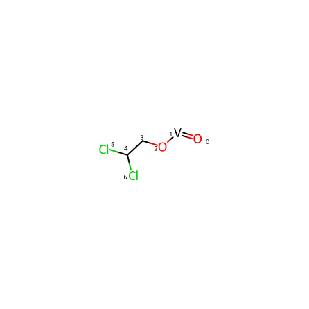 [O]=[V][O]CC(Cl)Cl